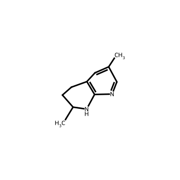 Cc1cnc2c(c1)CCC(C)N2